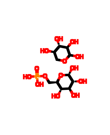 O=P(O)(O)OC[C@H]1O[C@H](O)[C@H](O)[C@@H](O)[C@@H]1O.OC1OC[C@@H](O)[C@H](O)[C@H]1O